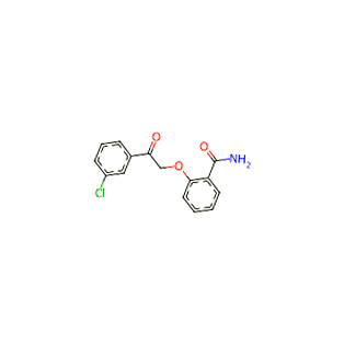 NC(=O)c1ccccc1OCC(=O)c1cccc(Cl)c1